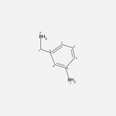 BCc1cccc(B)c1